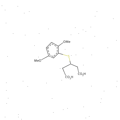 COc1ccc(OC)c(SC(CC(=O)O)CC(=O)O)c1